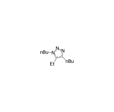 CCCCc1nnn(CCCC)c1CC